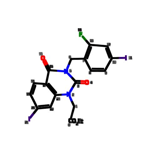 CCOC(=O)Cn1c(=O)n(Cc2ccc(I)cc2F)c(=O)c2ccc(I)cc21